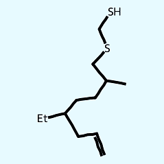 C=CCC(CC)CCC(C)CSCS